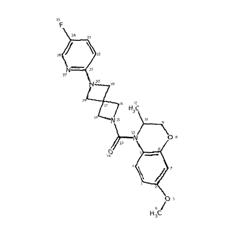 COc1ccc2c(c1)OCC(C)N2C(=O)N1CC2(C1)CN(c1ccc(F)cn1)C2